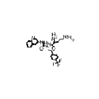 NCCC[C@H](N)C(=O)N[C@H](CCc1ccc(C(F)(F)F)cc1)C(=O)Nc1cnc2ccccc2c1